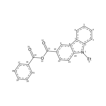 CCn1c2ccccc2c2cc(C(=O)OC(=O)c3ccccc3)ccc21